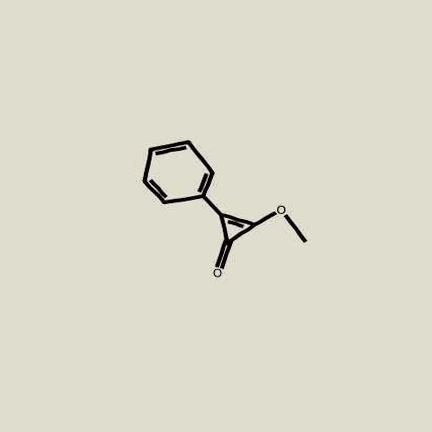 COc1c(-c2ccccc2)c1=O